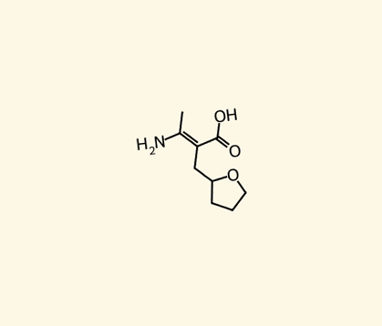 CC(N)=C(CC1CCCO1)C(=O)O